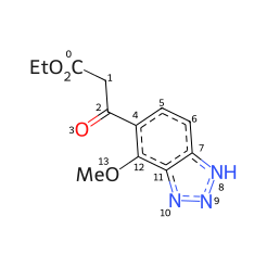 CCOC(=O)CC(=O)c1ccc2[nH]nnc2c1OC